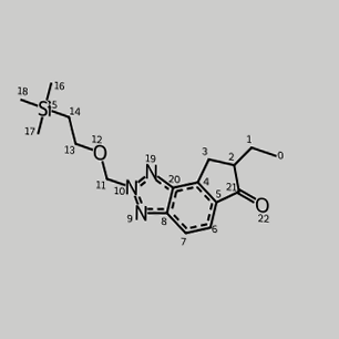 CCC1Cc2c(ccc3nn(COCC[Si](C)(C)C)nc23)C1=O